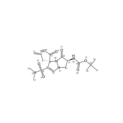 C=CC[C@@]1(C(=O)O)C(S(=O)(=O)N(C)C)=CN2C[C@H](NC(=O)OC(C)(C)C)C(=O)N21